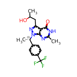 Cc1nc2c(c(CC(C)O)nn2[C@@H](C)c2ccc(C(F)(F)F)cc2)c(=O)[nH]1